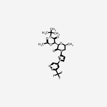 CC(=O)OC(C(=O)OC(C)(C)C)[C@H]1O[C@@H](C)CN(c2ccn(-c3cnnc(C(F)(F)F)c3)n2)C1=O